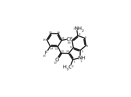 Cc1[nH]c2ccc(N)cc2c1C(=O)c1c(F)cccc1Cl